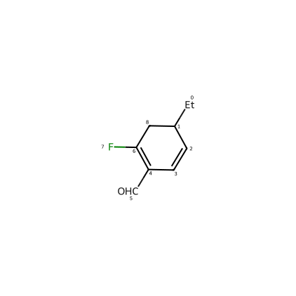 CCC1C=CC(C=O)=C(F)C1